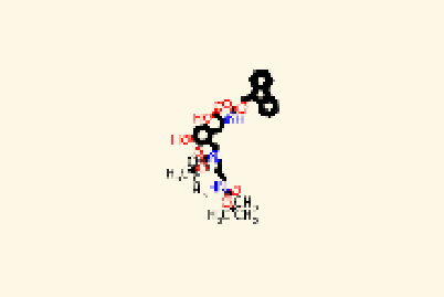 CC(C)(C)OC(=O)NCCCN(Cc1cc(O)ccc1CC(NC(=O)OCC1c2ccccc2-c2ccccc21)C(=O)O)C(=O)OC(C)(C)C